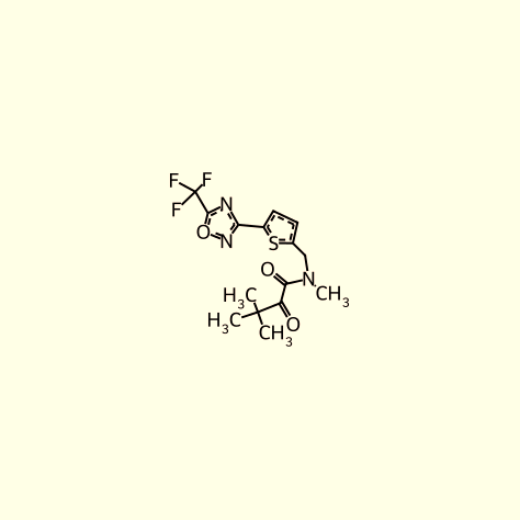 CN(Cc1ccc(-c2noc(C(F)(F)F)n2)s1)C(=O)C(=O)C(C)(C)C